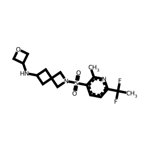 Cc1nc(C(C)(F)F)ccc1S(=O)(=O)N1CC2(CC(NC3COC3)C2)C1